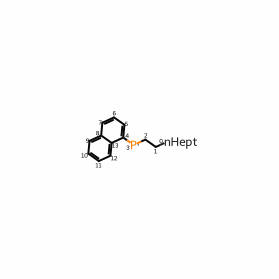 CCCCCCCCC[P]c1cccc2ccccc12